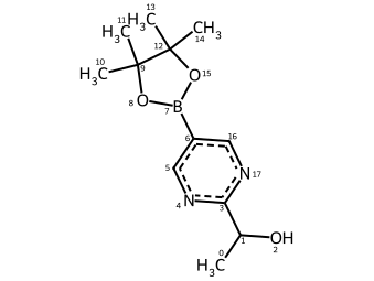 CC(O)c1ncc(B2OC(C)(C)C(C)(C)O2)cn1